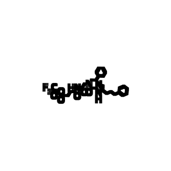 O=C(CCC(=O)OC(=O)C(F)(F)F)NC(=O)CN(CCc1ccccc1)C(=O)c1ncc(CCCc2ccccc2)[nH]1